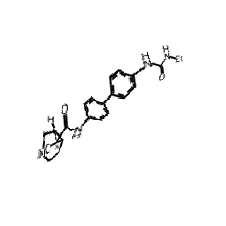 CCNC(=O)Nc1ccc(-c2ccc(NC(=O)[C@H]3CN4CCC3CC4)cc2)cc1